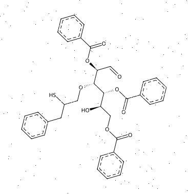 O=C[C@H](OC(=O)c1ccccc1)[C@@H](OCC(S)Cc1ccccc1)[C@H](OC(=O)c1ccccc1)[C@H](O)COC(=O)c1ccccc1